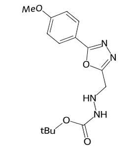 COc1ccc(-c2nnc(CNNC(=O)OC(C)(C)C)o2)cc1